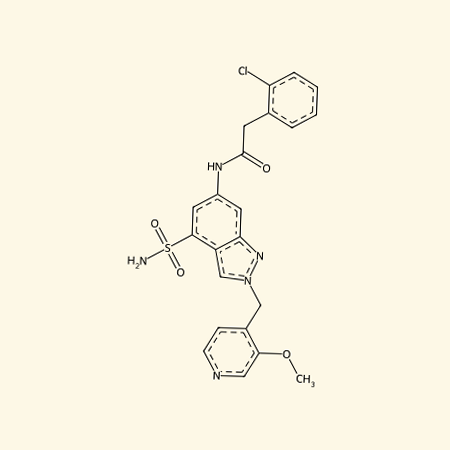 COc1cnccc1Cn1cc2c(S(N)(=O)=O)cc(NC(=O)Cc3ccccc3Cl)cc2n1